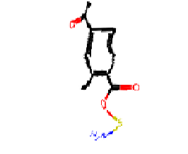 CC(=O)c1ccc(C(=O)OSN)c(C)c1